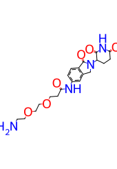 NCCOCCOCCC(=O)Nc1ccc2c(c1)CN(C1CCC(=O)NC1=O)C2=O